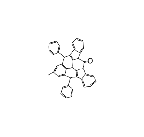 Cc1cc2c3c(c1)C(c1ccccc1)C1=C4C(C(=O)C5C(=C(c6ccccc65)C2c2ccccc2)C43)c2ccccc21